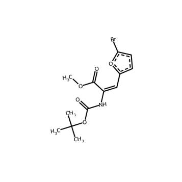 COC(=O)/C(=C\c1ccc(Br)o1)NC(=O)OC(C)(C)C